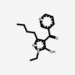 CCCCc1nn(CC)c(O)c1C(=O)c1cccnc1